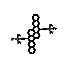 CC(C)[Si](C#Cc1c2cc3ccccc3cc2c2ccc3c(C#C[Si](C(C)C)(C(C)C)C(C)C)c4cc5ccccc5cc4c4ccc1c2c34)(C(C)C)C(C)C